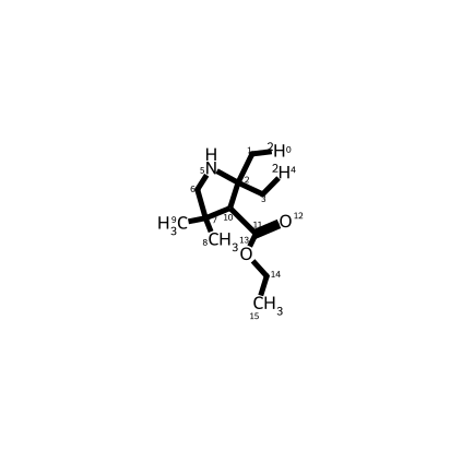 [2H]CC1(C[2H])NCC(C)(C)C1C(=O)OCC